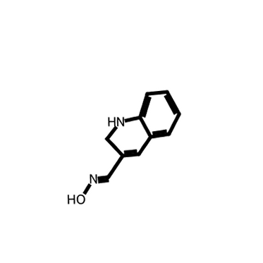 ON=CC1=Cc2ccccc2NC1